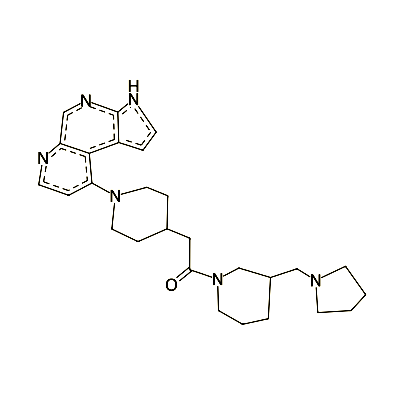 O=C(CC1CCN(c2ccnc3cnc4[nH]ccc4c23)CC1)N1CCCC(CN2CCCC2)C1